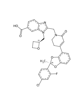 C[C@@]1(c2ccc(Cl)cc2F)Oc2cccc(C3=CC(=O)N(Cc4nc5ccc(C(=O)O)cc5n4C[C@@H]4CCO4)CC3)c2O1